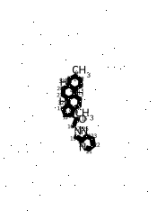 C[C@H]1CC[C@@H]2C3CC[C@@]4(C)C(CC[C@@H]4C(=O)Cn4cc5ncccc5n4)[C@@H]3CC[C@@H]2C1